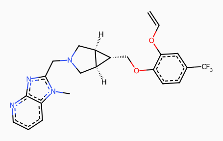 C=COc1cc(C(F)(F)F)ccc1OC[C@@H]1[C@H]2CN(Cc3nc4ncccc4n3C)C[C@@H]12